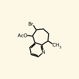 CC(=O)OC1c2cccnc2C(C)CCC1Br